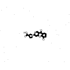 O=C(O)C1CCN(c2cc3oc4c(Cl)cccc4c(=O)c3cn2)C1